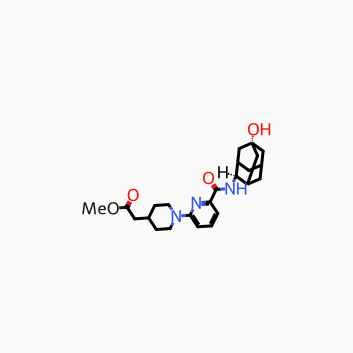 COC(=O)CC1CCN(c2cccc(C(=O)N[C@H]3C4CC5CC3C[C@](O)(C5)C4)n2)CC1